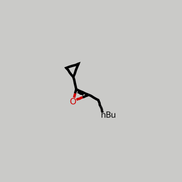 CCCCCC1=C(C2CC2)O1